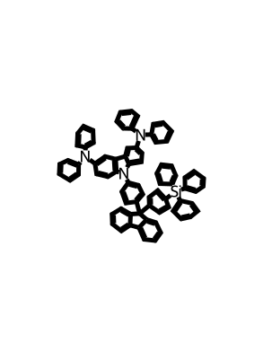 c1ccc(N(c2ccccc2)c2ccc3c(c2)c2cc(N(c4ccccc4)c4ccccc4)ccc2n3-c2ccc(C3(c4ccc([Si](c5ccccc5)(c5ccccc5)c5ccccc5)cc4)c4ccccc4-c4ccccc43)cc2)cc1